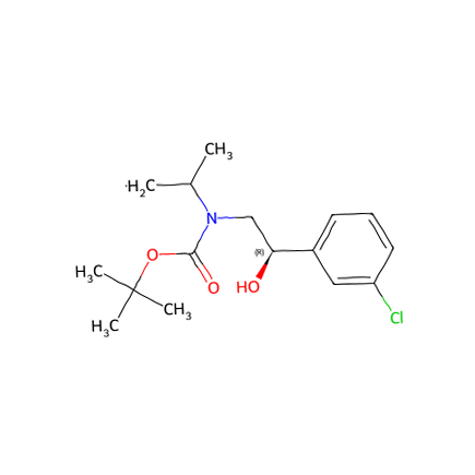 [CH2]C(C)N(C[C@H](O)c1cccc(Cl)c1)C(=O)OC(C)(C)C